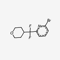 FC(F)(c1cccc(Br)n1)C1CCOCC1